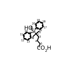 CC(C)(CCCC(=O)O)[Si](O)(c1ccccc1)c1ccccc1